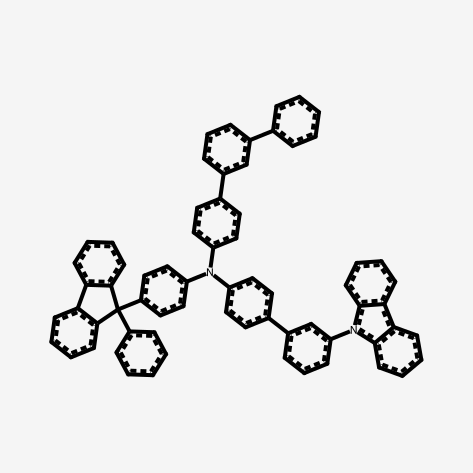 c1ccc(-c2cccc(-c3ccc(N(c4ccc(-c5cccc(-n6c7ccccc7c7ccccc76)c5)cc4)c4ccc(C5(c6ccccc6)c6ccccc6-c6ccccc65)cc4)cc3)c2)cc1